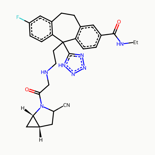 CCNC(=O)c1ccc2c(c1)CCc1cc(F)ccc1C2(CCNCC(=O)N1C(C#N)C[C@@H]2C[C@@H]21)c1nnn[nH]1